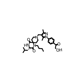 CCCCN1C(=O)[C@H](CC(C)C)NC(=O)C12CCN(Cc1c(C)nn(-c3ccc(C(=O)CO)cc3)c1C)CC2